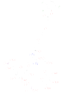 O=C(CCOCCOCCC(=O)Oc1c(F)c(F)cc(F)c1F)NC(CO[C@H]1OC(CCP(=O)(O)O)[C@@H](O)[C@H](O)C1O)C(=O)NC(COC1OC(CCP(=O)(O)O)C(O)C(O)C1O)C(=O)O